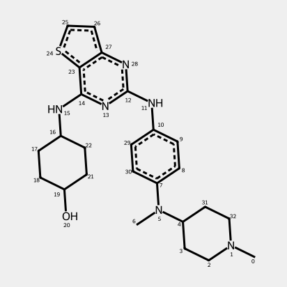 CN1CCC(N(C)c2ccc(Nc3nc(NC4CCC(O)CC4)c4sccc4n3)cc2)CC1